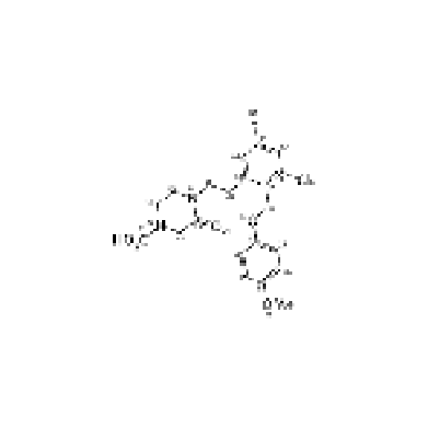 COc1ccc(OCc2c(Cl)cc(F)cc2CCN2CCN(C(=O)O)CC2=O)cc1